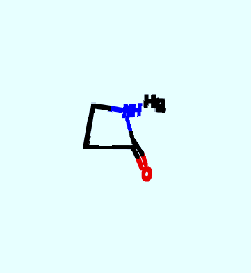 O=C1CCN1.[Hg]